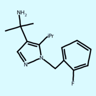 CC(C)c1c(C(C)(C)N)cnn1Cc1ccccc1F